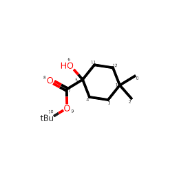 CC1(C)CCC(O)(C(=O)OC(C)(C)C)CC1